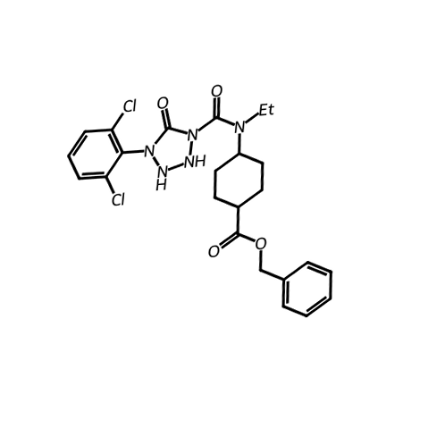 CCN(C(=O)N1NNN(c2c(Cl)cccc2Cl)C1=O)C1CCC(C(=O)OCc2ccccc2)CC1